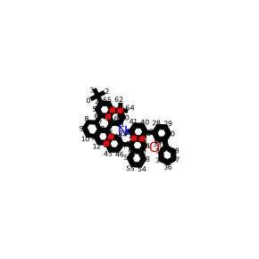 CC(C)(C)c1cc(C2CC=Cc3cccc(-c4ccccc4N(c4ccc(-c5cccc6c5oc5ccccc56)cc4)c4ccccc4-c4cccc5ccccc45)c32)cc(C(C)(C)C)c1